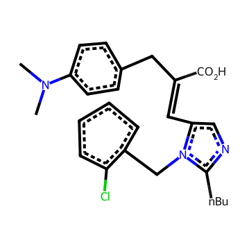 CCCCc1ncc(C=C(Cc2ccc(N(C)C)cc2)C(=O)O)n1Cc1ccccc1Cl